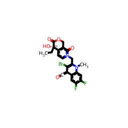 CC[C@@]1(O)C(=O)OCc2c1ccn(CC1=C(Br)C(=C=O)c3cc(F)c(F)cc3N1C)c2=O